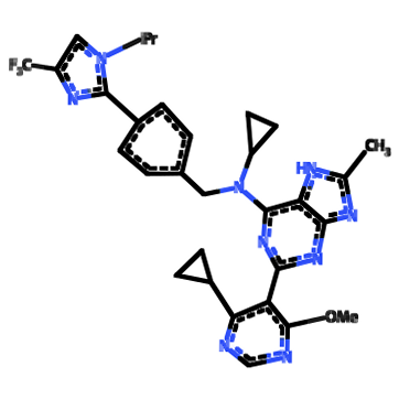 COc1ncnc(C2CC2)c1-c1nc(N(Cc2ccc(-c3nc(C(F)(F)F)cn3C(C)C)cc2)C2CC2)c2[nH]c(C)nc2n1